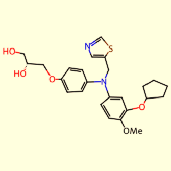 COc1ccc(N(Cc2cncs2)c2ccc(OC[C@H](O)CO)cc2)cc1OC1CCCC1